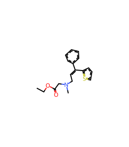 CCOC(=O)CN(C)CC=C(c1ccccc1)c1cccs1